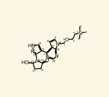 C[Si](C)(C)CCOCn1ccc2c(-c3c[nH]nc3N3C(=O)CCC3O)ncnc21